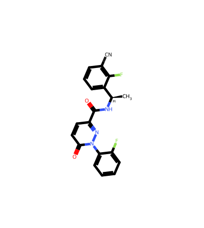 C[C@@H](NC(=O)c1ccc(=O)n(-c2ccccc2F)n1)c1cccc(C#N)c1F